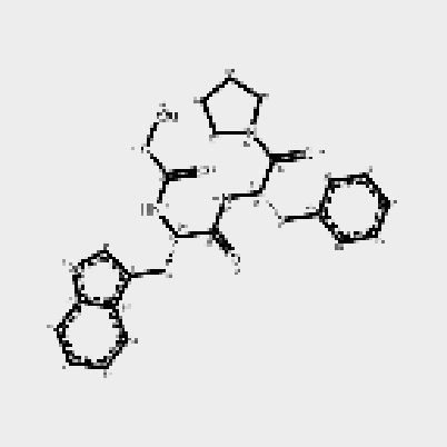 CC(C)(C)OC(=O)N[C@@H](Cc1csc2ccccc12)C(=O)N[C@@H](Cc1ccccc1)C(=O)N1CCCC1